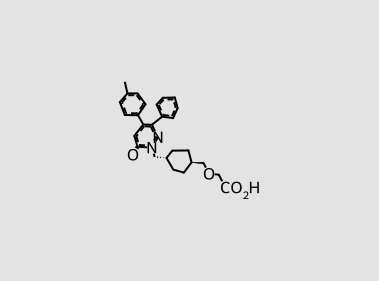 Cc1ccc(-c2cc(=O)n(C[C@H]3CC[C@H](COCC(=O)O)CC3)nc2-c2ccccc2)cc1